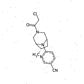 C[C@H]1CC2CN(C(=O)CCl)CC1N2c1ccc(C#N)cn1